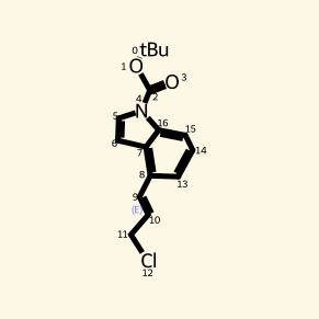 CC(C)(C)OC(=O)n1ccc2c(/C=C/CCl)cccc21